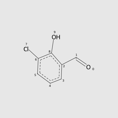 O=[C]c1cccc(Cl)c1O